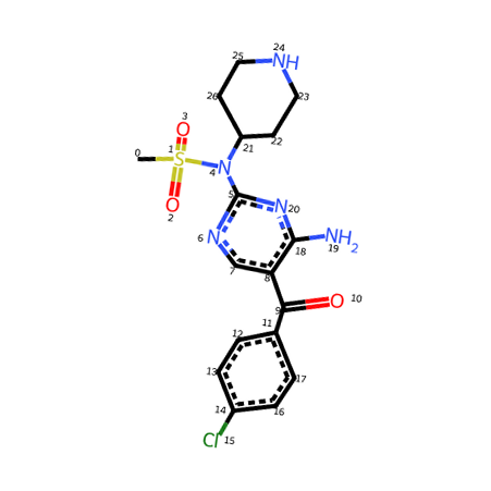 CS(=O)(=O)N(c1ncc(C(=O)c2ccc(Cl)cc2)c(N)n1)C1CCNCC1